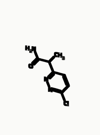 CC(C(N)=O)c1ccc(Cl)nn1